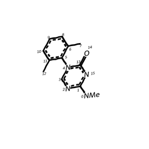 CNc1ncn(-c2c(C)cccc2C)c(=O)n1